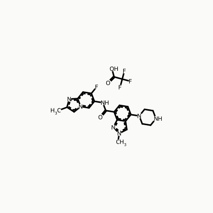 Cc1cn2cc(NC(=O)c3ccc(N4CCNCC4)c4cn(C)nc34)c(F)cc2n1.O=C(O)C(F)(F)F